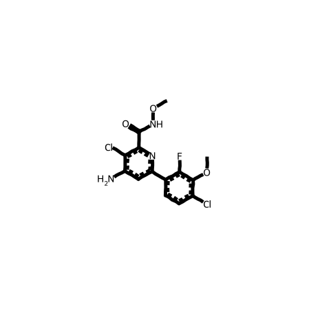 CONC(=O)c1nc(-c2ccc(Cl)c(OC)c2F)cc(N)c1Cl